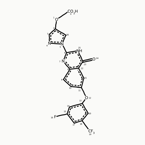 O=C(O)Oc1cnn(-c2nc3ccc(Oc4cc(F)cc(C(F)(F)F)c4)cc3c(=O)[nH]2)c1